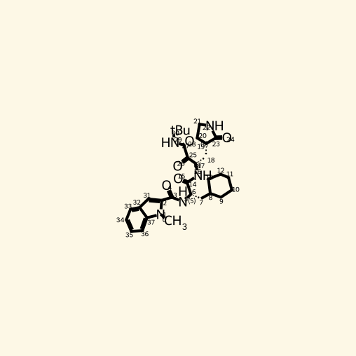 Cn1c(C(=O)N[C@@H](CC2CCCCC2)C(=O)N[C@@H](C[C@@H]2CCNC2=O)C(=O)C(=O)NC(C)(C)C)cc2ccccc21